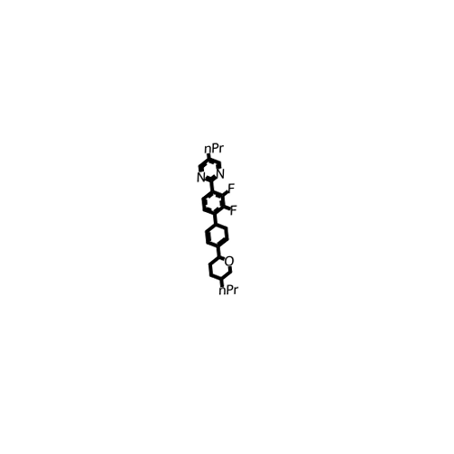 CCCc1cnc(-c2ccc(C3C=CC(C4CCC(CCC)CO4)=CC3)c(F)c2F)nc1